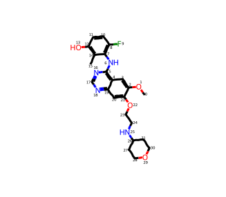 COc1cc2c(Nc3c(F)ccc(O)c3C)ncnc2cc1OCCNC1CCOCC1